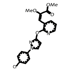 COC(=O)C(=Cc1cccnc1Oc1ccn(-c2ccc(Cl)cc2)n1)OC